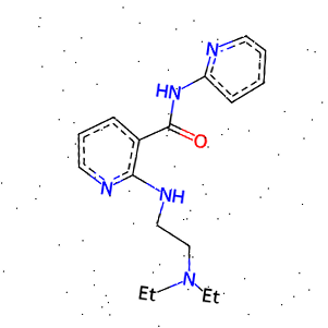 CCN(CC)CCNc1ncccc1C(=O)Nc1ccccn1